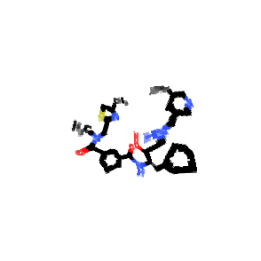 Cc1csc(CN(C)C(=O)c2cccc(C(=O)N[C@@H](Cc3ccccc3)[C@@H](O)CNCc3cncc(C(C)C)c3)c2)n1